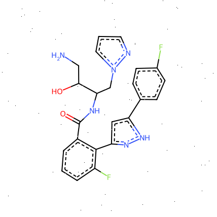 NCC(O)C(Cn1cccn1)NC(=O)c1cccc(F)c1-c1cc(-c2ccc(F)cc2)[nH]n1